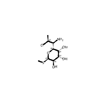 CS[C@H]1O[C@H](C(N)[C@H](C)Cl)[C@H](O)[C@H](O)[C@H]1O